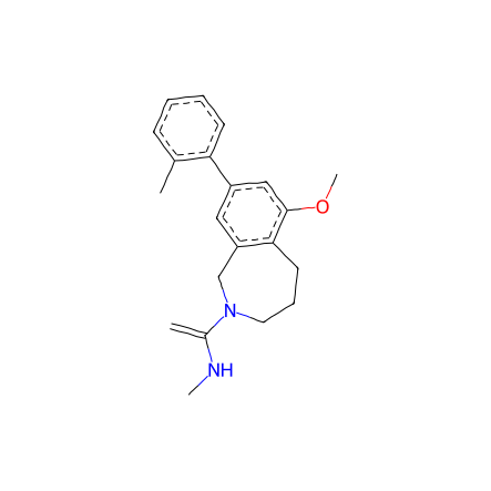 C=C(NC)N1CCCc2c(cc(-c3ccccc3C)cc2OC)C1